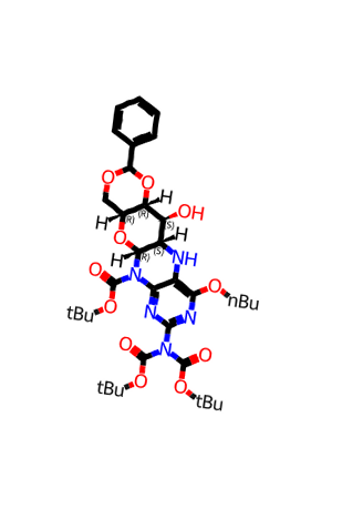 CCCCOc1nc(N(C(=O)OC(C)(C)C)C(=O)OC(C)(C)C)nc2c1N[C@H]1[C@H](O)[C@H]3OC(c4ccccc4)OC[C@H]3O[C@H]1N2C(=O)OC(C)(C)C